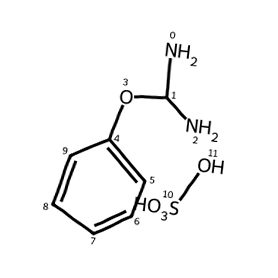 NC(N)Oc1ccccc1.O=S(=O)(O)O